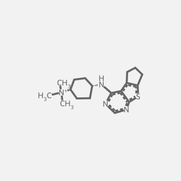 C[N+](C)(C)[C@H]1CC[C@H](Nc2ncnc3sc4c(c23)CCC4)CC1